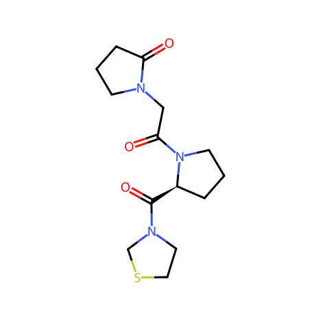 O=C1CCCN1CC(=O)N1CCC[C@H]1C(=O)N1CCSC1